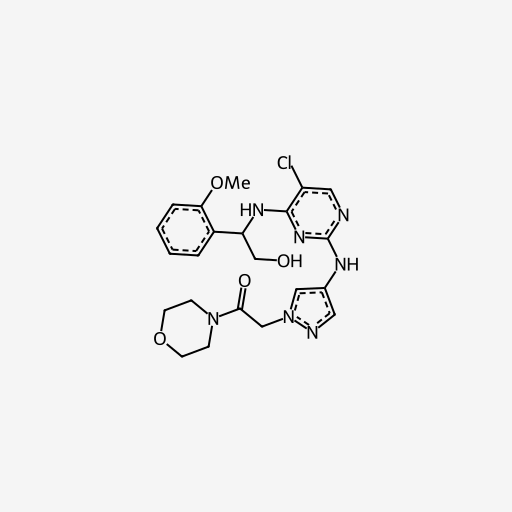 COc1ccccc1C(CO)Nc1nc(Nc2cnn(CC(=O)N3CCOCC3)c2)ncc1Cl